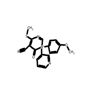 COc1ccc([N+]2(c3cccnc3)C=NC(SC)=C(C#N)C2=O)cc1